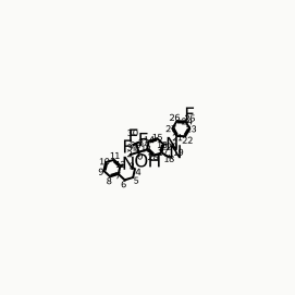 OC(CN1CCCc2ccccc21)(c1ccc2c(cnn2-c2ccc(F)cc2)c1)C(F)(F)F